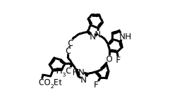 CCOC(=O)CCc1cccc(C2(C)CCCCCc3nn(c4ccccc34)Cc3c(c(F)cc4[nH]ccc34)Oc3ccc(F)c(c3)-c3ncc2[nH]3)c1